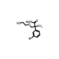 COC(=O)C(C)(COCCO)c1cccc(Br)c1